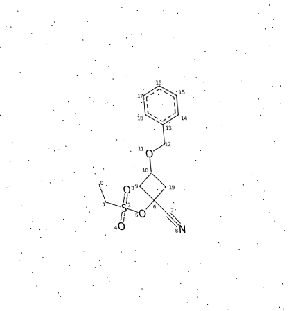 CCS(=O)(=O)OC1(C#N)CC(OCc2ccccc2)C1